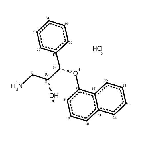 Cl.NC[C@@H](O)[C@@H](Oc1cccc2ccccc12)c1ccccc1